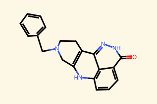 O=c1[nH]nc2c3c(cccc13)NC1=C2CCN(Cc2ccccc2)C1